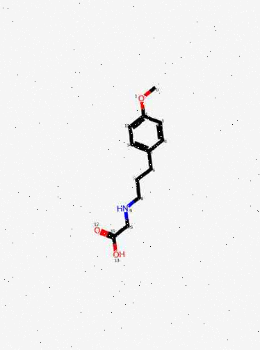 COc1ccc(CCCNCC(=O)O)cc1